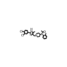 CC(=O)N(c1ccccc1C)C1CCN(Cc2nc(-c3ccc(Cl)c(Cl)c3)[nH]c2C)CC1